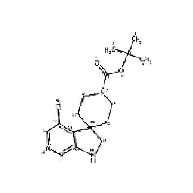 CC(C)(C)OC(=O)N1CCC2(CC1)CNc1cncc(Cl)c12